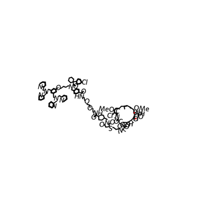 COc1cc2cc(c1Cl)N(C)C(=O)C[C@H](OC(=O)[C@@H](C)N(C)C(=O)CCSC1CC(=O)N(CC3CCC(C(=O)NCCOCCOCCNC(=O)c4ccc(CN(CCCCOc5cc(CN(Cc6ccccn6)Cc6ccccn6)cc(CN(Cc6ccccn6)Cc6ccccn6)c5)C(=O)C5(c6ccc(Cl)cc6)CCCCC5)cc4)CC3)C1=O)[C@]1(C)O[C@@H]1[C@H](C)[C@@H]1C[C@@](O)(NC(=O)O1)[C@H](OC)/C=C/C=C(\C)C2